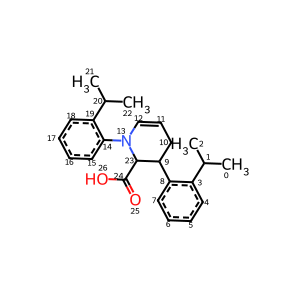 CC(C)c1ccccc1C1CC=CN(c2ccccc2C(C)C)C1C(=O)O